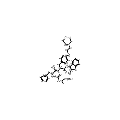 COCC(C)OC(=O)N[C@@H](Cc1ccccc1)[C@@H](O)C[C@@H](Cc1ccc(OCCN2CCOCC2)cc1)C(=O)N[C@H]1c2ccccc2C[C@H]1O